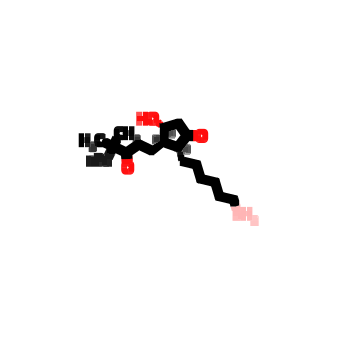 BCCCCCC[C@H]1C(=O)C[C@@H](O)[C@@H]1CCC(=O)C(C)(C)CCCC